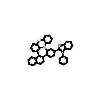 c1ccc(-n2c(-c3ccc4c(c3)N3c5ccccc5Oc5cccc(c53)-c3c-4ccc4ccccc34)nc3ccccc32)cc1